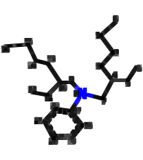 CCCCC(CC)CN(CC(CC)CCCC)c1ccccc1